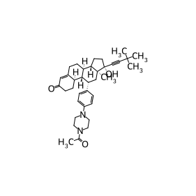 CC(=O)N1CCN(c2ccc([C@H]3C[C@@]4(C)[C@@H](CC[C@@]4(O)C#CC(C)(C)C)[C@@H]4CCC5=CC(=O)CC[C@@H]5[C@H]43)cc2)CC1